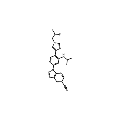 CC(C)Nc1cc(-n2ncc3cc(C#N)cnc32)ncc1-c1cn(CC(F)F)cn1